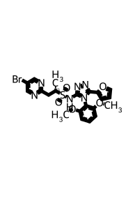 COc1cccc(OC)c1-n1c(NS(=O)(=O)[C@@H](C)Cc2ncc(Br)cn2)nnc1-c1ccco1